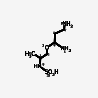 CC(COC(N)CCN)NS(=O)(=O)O